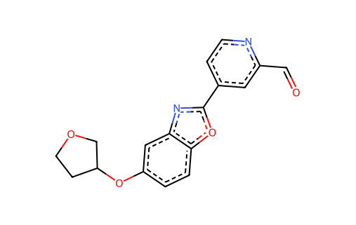 O=Cc1cc(-c2nc3cc(OC4CCOC4)ccc3o2)ccn1